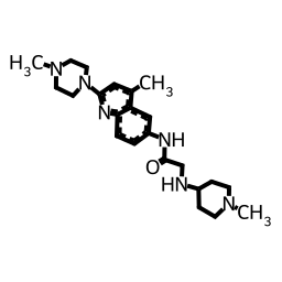 Cc1cc(N2CCN(C)CC2)nc2ccc(NC(=O)CNC3CCN(C)CC3)cc12